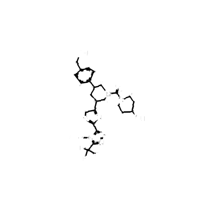 CCc1ccc(C2CC(C3=NC(c4nnc(C(F)(F)F)n4C)=NC3)CN(C(=O)N3CCC(O)CC3)C2)cc1